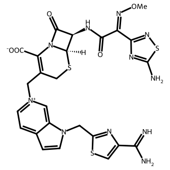 CON=C(C(=O)N[C@@H]1C(=O)N2C(C(=O)[O-])=C(C[n+]3ccc4ccn(Cc5nc(C(=N)N)cs5)c4c3)CS[C@H]12)c1nsc(N)n1